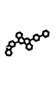 c1ccc(-c2ccc(-c3cc4c5ccccc5c(-c5ccc6sc7ccccc7c6c5)cc4c4ccccc34)cc2)cc1